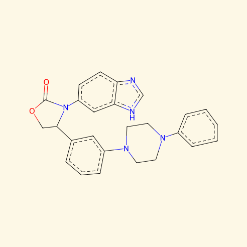 O=C1OCC(c2cccc(N3CCN(c4ccccc4)CC3)c2)N1c1ccc2nc[nH]c2c1